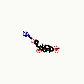 CC(=O)OC1CC[C@@]2(C)C(=CC[C@@H]3[C@H]2CC[C@]2(C)C(=O)C(=Cc4cccc(OCCCn5ccnc5)c4)C[C@@H]32)C1